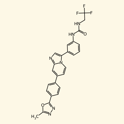 Cc1nnc(-c2ccc(-c3ccn4c(-c5cccc(NC(=O)NCC(F)(F)F)c5)cnc4c3)cc2)o1